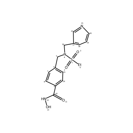 CCS(=O)(=O)N(Cc1ccc(C(=O)NO)cc1)Cc1cccnc1